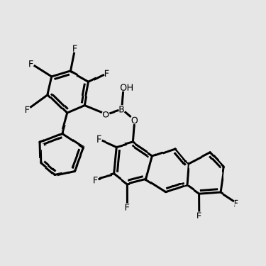 OB(Oc1c(F)c(F)c(F)c(F)c1-c1ccccc1)Oc1c(F)c(F)c(F)c2cc3c(F)c(F)ccc3cc12